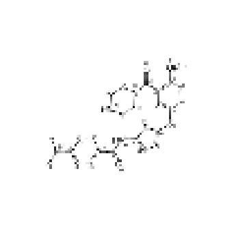 COc1ccc(Sc2cnc(NC(=O)c3ccc(N(C)C)cc3)s2)cc1C(=O)N1CCNCC1